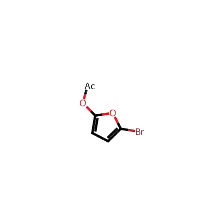 CC(=O)Oc1ccc(Br)o1